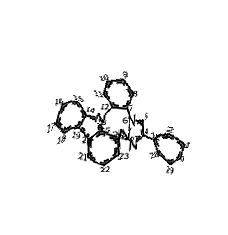 c1ccc(-c2cn(-c3ccccc3-n3c4ccccc4c4ccccc43)nn2)cc1